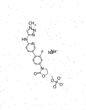 Cn1cc(Nc2ccc(-c3ccc(N4C[C@H](COP(=O)([O-])[O-])OC4=O)cc3F)cn2)nn1.[Na+].[Na+]